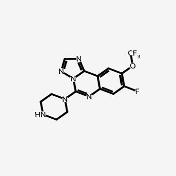 Fc1cc2nc(N3CCNCC3)n3ncnc3c2cc1OC(F)(F)F